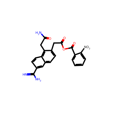 N=C(N)c1ccc2c(CC(N)=O)c(CC(=O)OC(=O)c3ccccc3[N+](=O)[O-])ccc2c1